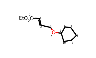 CCOC(=O)/C=C/COC1CCCCC1